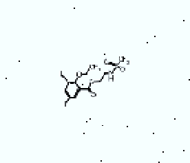 O=C(OCCNS(=O)(=O)C(F)(F)F)c1cc(I)cc(I)c1OCC(F)(F)F